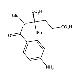 CC(C)(C)N(C(=O)c1ccc(N)cc1)[C@@](CCC(=O)O)(C(=O)O)C(C)(C)C